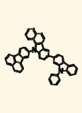 c1ccc(-n2c3ccccc3c3ccc(-c4ccc5c(c4)c4ccc6ccccc6c4n5-c4ccc5c(c4)-c4cccc6cccc-5c46)cc32)cc1